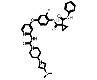 CN(C)C1CN(C2CCN(C(=O)Nc3cc(Oc4ccc(NC(=O)C5(C(=O)Nc6ccccc6)CC5)c(F)c4)ccn3)CC2)C1